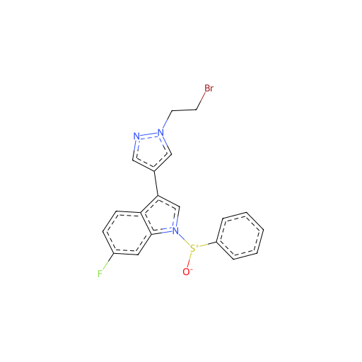 [O-][S+](c1ccccc1)n1cc(-c2cnn(CCBr)c2)c2ccc(F)cc21